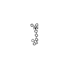 c1ccc(-c2nc(-c3ccc(-c4ccc(-c5ccc6c(c5)C5(CCCCC5)c5ccccc5S6)cc4)cc3)nc3ccccc23)cc1